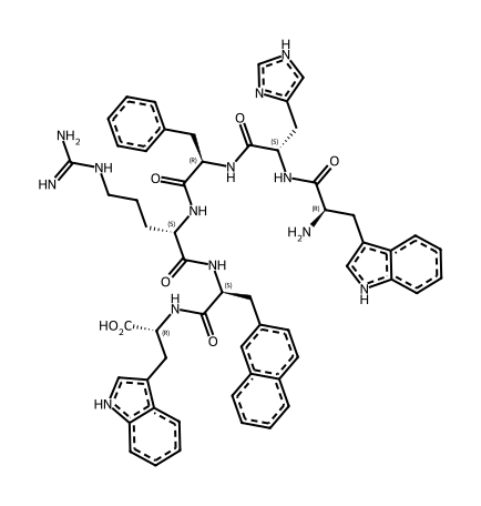 N=C(N)NCCC[C@H](NC(=O)[C@@H](Cc1ccccc1)NC(=O)[C@H](Cc1c[nH]cn1)NC(=O)[C@H](N)Cc1c[nH]c2ccccc12)C(=O)N[C@@H](Cc1ccc2ccccc2c1)C(=O)N[C@H](Cc1c[nH]c2ccccc12)C(=O)O